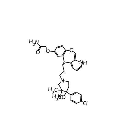 CC1(C)CN(CC/C=C2\C3=CC=CNC3=COc3ccc(OCC(N)=O)cc32)CCC1(O)c1ccc(Cl)cc1